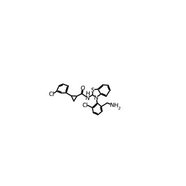 NCc1cccc(Cl)c1N1c2ccccc2SC1NC(=O)C1CC1c1cccc(Cl)c1